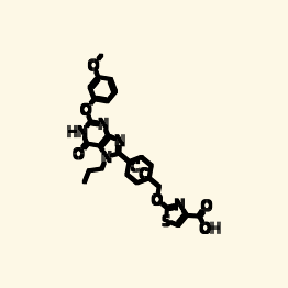 CCCn1c(C23CCC(COc4nc(C(=O)O)cs4)(CC2)CC3)nc2nc(Oc3cccc(OC)c3)[nH]c(=O)c21